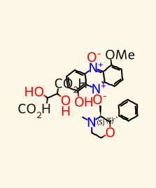 COc1cccc2c1[n+]([O-])c1cccc(O)c1[n+]2[O-].C[C@H]1[C@H](c2ccccc2)OCCN1C.O=C(O)C(O)C(O)C(=O)O